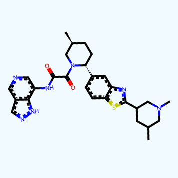 CC1CC(c2nc3cc([C@H]4CC[C@H](C)CN4C(=O)C(=O)Nc4cncc5cn[nH]c45)ccc3s2)CN(C)C1